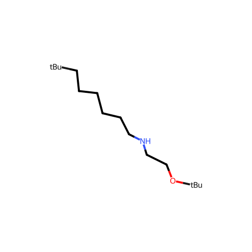 CC(C)(C)CCCCCCNCCOC(C)(C)C